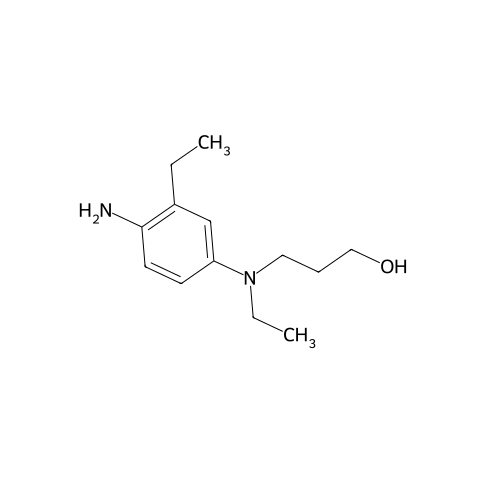 CCc1cc(N(CC)CCCO)ccc1N